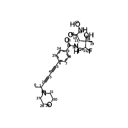 CC(C#CC#Cc1ccc(C(=O)N[C@H](C(=O)NO)[C@](C)(O)C(F)F)cc1)N1CCOCC1